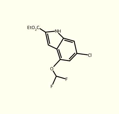 CCOC(=O)c1cc2c(OC(F)F)cc(Cl)cc2[nH]1